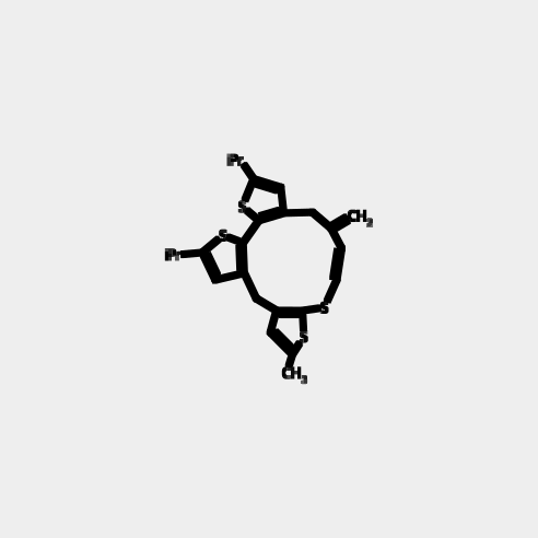 C=C1/C=C\Sc2sc(C)cc2Cc2cc(C(C)C)sc2-c2sc(C(C)C)cc2C1